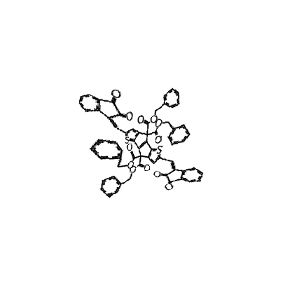 O=C1C(=O)c2ccccc2/C1=C/c1cc2c(s1)C1=C(c3sc(/C=C4\C(=O)C(=O)c5ccccc54)cc3C1(C(=O)OCc1ccccc1)C(=O)OCc1ccccc1)C2(C(=O)OCc1ccccc1)C(=O)OCc1ccccc1